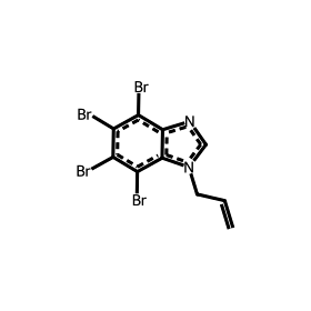 C=CCn1cnc2c(Br)c(Br)c(Br)c(Br)c21